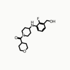 O=C(C1CCOCC1)N1CCC(Nc2cccc(CO)c2F)CC1